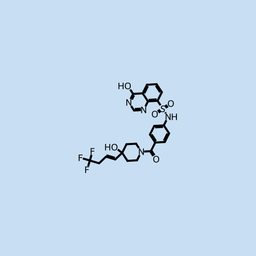 O=C(c1ccc(NS(=O)(=O)c2cccc3c(O)ncnc23)cc1)N1CCC(O)(C=CCC(F)(F)F)CC1